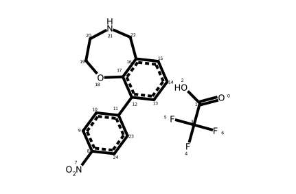 O=C(O)C(F)(F)F.O=[N+]([O-])c1ccc(-c2cccc3c2OCCNC3)cc1